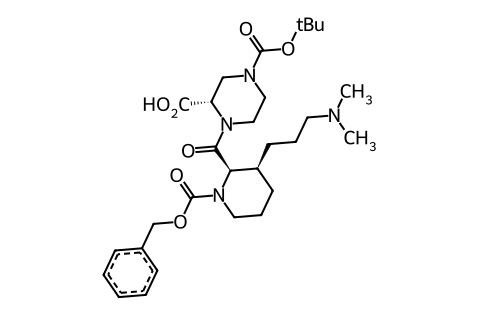 CN(C)CCC[C@H]1CCCN(C(=O)OCc2ccccc2)[C@H]1C(=O)N1CCN(C(=O)OC(C)(C)C)C[C@H]1C(=O)O